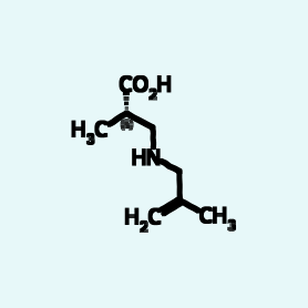 C=C(C)CNC[C@H](C)C(=O)O